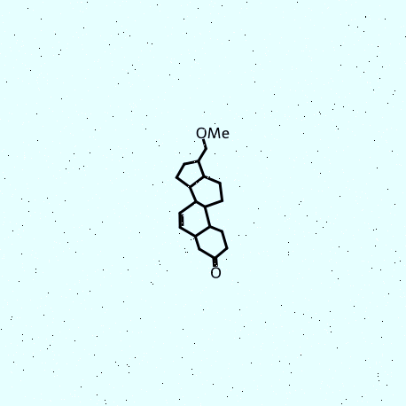 COCC1CCC2C3C=CC4CC(=O)CCC4C3CCC12